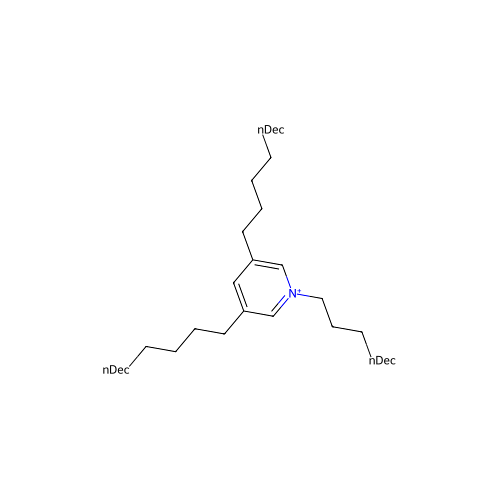 CCCCCCCCCCCCCCc1cc(CCCCCCCCCCCCCC)c[n+](CCCCCCCCCCCCC)c1